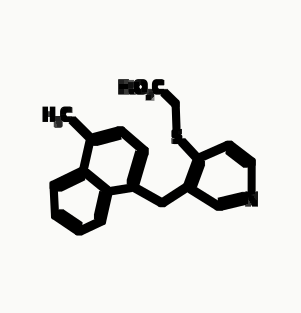 CCOC(=O)CSc1ccncc1Cc1ccc(C)c2ccccc12